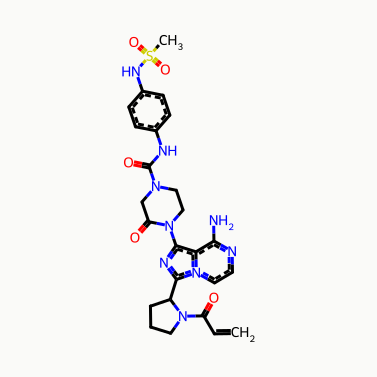 C=CC(=O)N1CCCC1c1nc(N2CCN(C(=O)Nc3ccc(NS(C)(=O)=O)cc3)CC2=O)c2c(N)nccn12